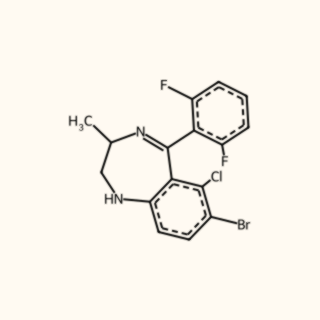 CC1CNc2ccc(Br)c(Cl)c2C(c2c(F)cccc2F)=N1